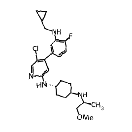 COC[C@H](C)N[C@H]1CC[C@H](Nc2cc(-c3ccc(F)c(NCC4CC4)c3)c(Cl)cn2)CC1